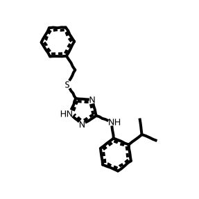 CC(C)c1ccccc1Nc1n[nH]c(SCc2ccccc2)n1